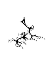 CCC(C)[C@H](NC(=O)OC(C)(C)C)C(=O)C1CC1